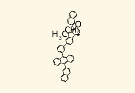 CC1(C)c2cc(-c3cccc(-c4c5ccccc5c(-c5ccc6ccccc6c5)c5ccccc45)c3)ccc2-c2ccc3oc4c5ccccc5ccc4c3c21